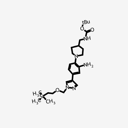 CC(C)(C)OC(=O)NCC1CCN(c2ccc(-c3cnn(COCC[Si](C)(C)C)c3)cc2N)CC1